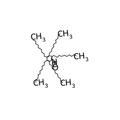 CCCCCCCCCCc1c(CCCCCCCCCC)c(CCCCCCCCCC)c(N=C=O)c(CCCCCCCCCC)c1CCCCCCCCCC